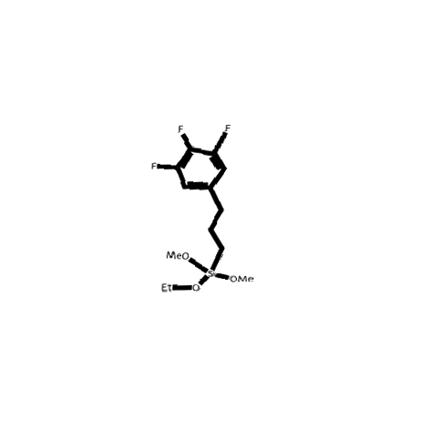 CCO[Si](CCCc1cc(F)c(F)c(F)c1)(OC)OC